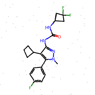 Cn1nc(NC(=O)NC2CC(F)(F)C2)c(C2CCC2)c1-c1ccc(F)cc1